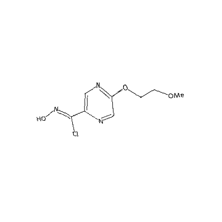 COCCOc1cnc(C(Cl)=NO)cn1